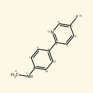 CNc1ccc(-c2ccc(F)cn2)cc1